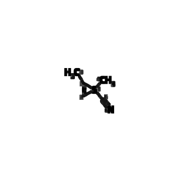 CC1=CS1(C)C#N